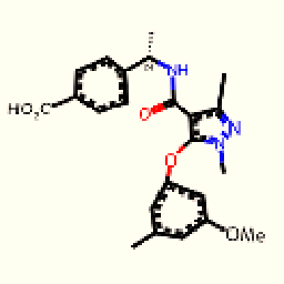 COc1cc(C)cc(Oc2c(C(=O)N[C@@H](C)c3ccc(C(=O)O)cc3)c(C)nn2C)c1